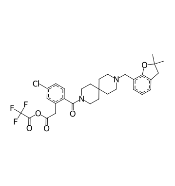 CC1(C)Cc2cccc(CN3CCC4(CC3)CCN(C(=O)c3ccc(Cl)cc3CC(=O)OC(=O)C(F)(F)F)CC4)c2O1